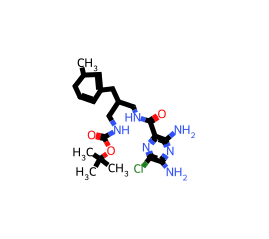 CC1C=C(CC(CNC(=O)OC(C)(C)C)CNC(=O)c2nc(Cl)c(N)nc2N)C=CC1